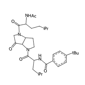 CC(=O)NC(CCC(C)C)C(=O)N1CC(=O)C2C1CCN2C(=O)C(CC(C)C)NC(=O)c1ccc(C(C)(C)C)cc1